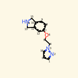 c1cnn(CCOc2ccc3c(c2)CNC3)c1